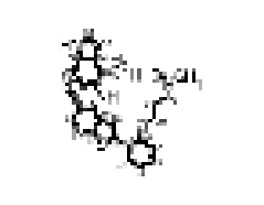 Cc1c(Nc2c(C#N)cnc3sc(-c4ccccc4OCCCN(C)C)cc23)ccc2[nH]ccc12